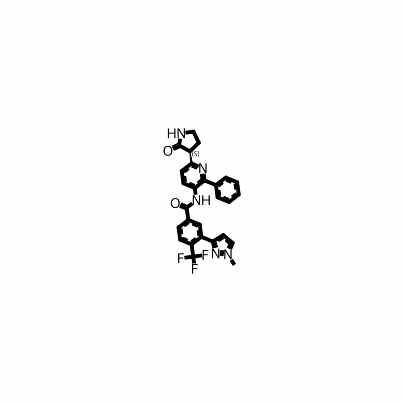 Cn1ccc(-c2cc(C(=O)Nc3ccc([C@@H]4CCNC4=O)nc3-c3ccccc3)ccc2C(F)(F)F)n1